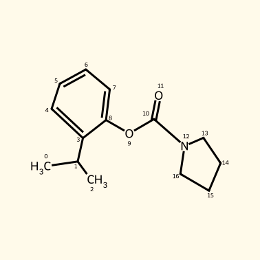 CC(C)c1ccccc1OC(=O)N1CCCC1